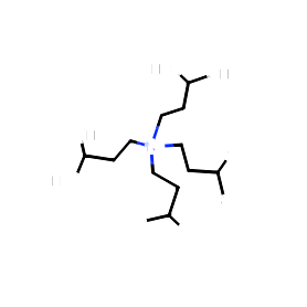 CC(C)CC[N+](CCC(C)C)(CCC(C)C)CCC(C)C.[I-]